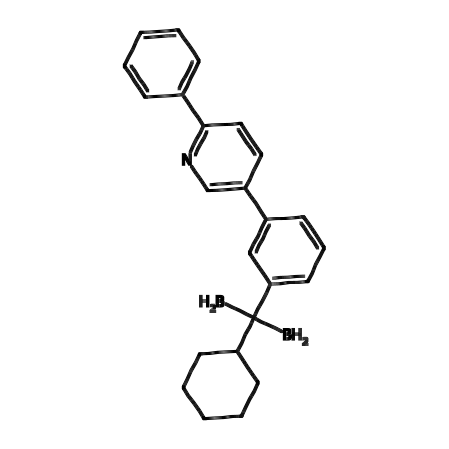 BC(B)(c1cccc(-c2ccc(-c3ccccc3)nc2)c1)C1CCCCC1